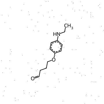 CCNc1ccc(OCCCC=O)cc1